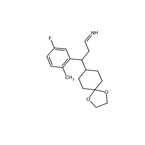 Cc1ccc(F)cc1C(CC=N)C1CCC2(CC1)OCCO2